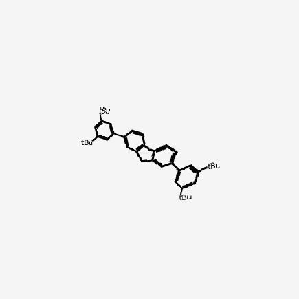 CC(C)(C)c1cc(-c2ccc3c(c2)Cc2cc(-c4cc(C(C)(C)C)cc(C(C)(C)C)c4)ccc2-3)cc(C(C)(C)C)c1